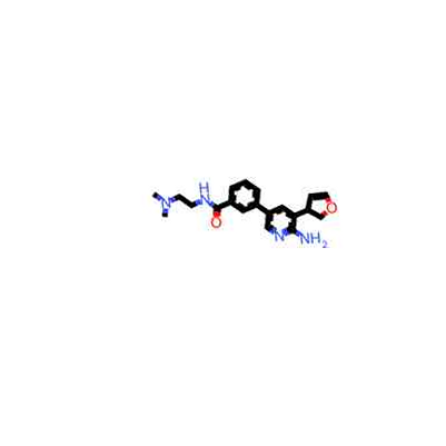 CN(C)CCNC(=O)c1cccc(-c2cnc(N)c(C3C=COC3)c2)c1